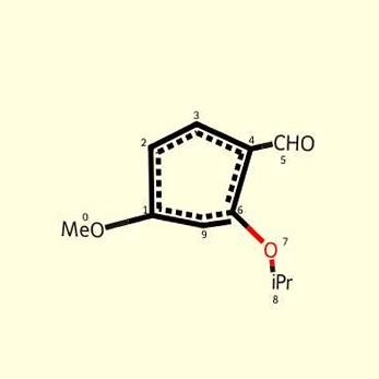 COc1ccc(C=O)c(OC(C)C)c1